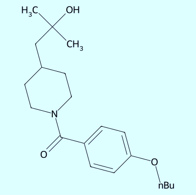 CCCCOc1ccc(C(=O)N2CCC(CC(C)(C)O)CC2)cc1